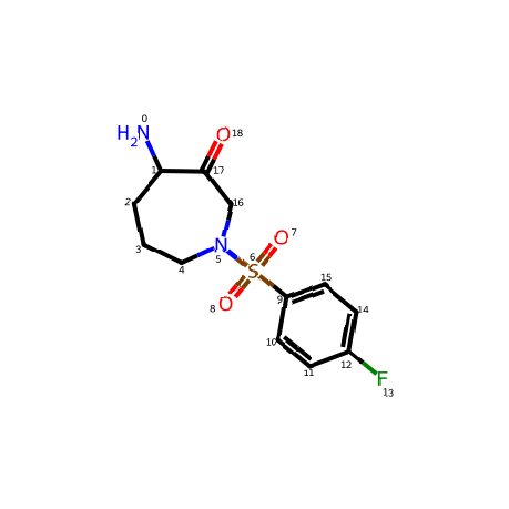 NC1CCCN(S(=O)(=O)c2ccc(F)cc2)CC1=O